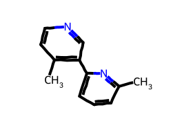 Cc1cccc(-c2cnccc2C)n1